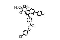 CN(C)C(=O)c1nc(N2CCN(C(=O)COc3ccc(Cl)cc3)CC2)c2nc(-c3ccc(F)cc3)ccc2n1